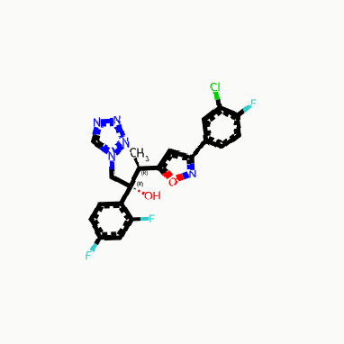 C[C@@H](c1cc(-c2ccc(F)c(Cl)c2)no1)[C@](O)(Cn1cnnn1)c1ccc(F)cc1F